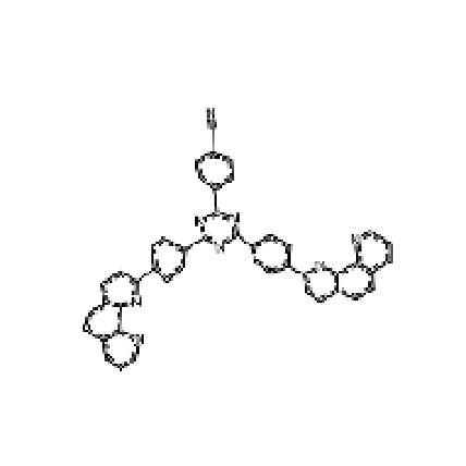 N#Cc1ccc(-c2nc(-c3ccc(-c4ccc5ccc6cccnc6c5n4)cc3)nc(-c3ccc(-c4ccc5ccc6cccnc6c5n4)cc3)n2)cc1